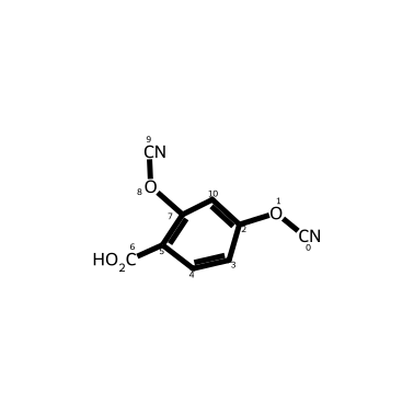 N#COc1ccc(C(=O)O)c(OC#N)c1